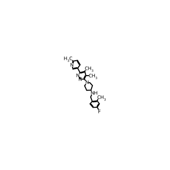 Cc1ccc(-c2nnc(N3CCC(NCc4ccc(F)cc4C)CC3)c(C)c2C)cn1